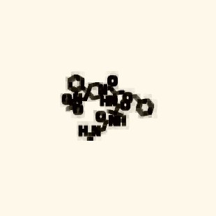 CC(C)(NC(=O)CN)C(=O)N[C@H](COCc1ccccc1)C(=O)N1CCC2(CC1)CN(S(C)(=O)=O)c1ccccc12